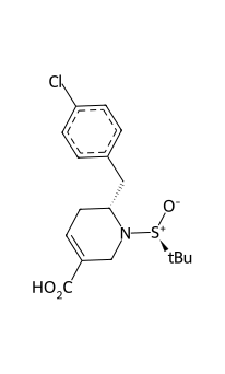 CC(C)(C)[S@+]([O-])N1CC(C(=O)O)=CC[C@@H]1Cc1ccc(Cl)cc1